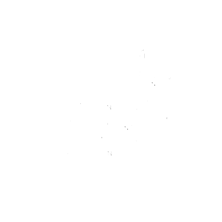 CC[S+]([O-])c1cccnc1-c1nc2cc(C(F)(F)F)n(C)c(=O)c2n1C